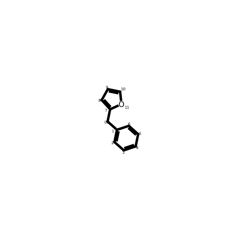 [CH](c1ccccc1)c1ccco1